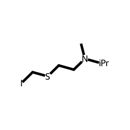 CC(C)N(C)CCSCI